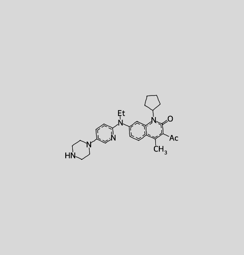 CCN(c1ccc2c(C)c(C(C)=O)c(=O)n(C3CCCC3)c2c1)c1ccc(N2CCNCC2)cn1